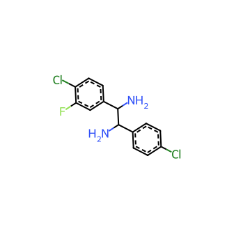 NC(c1ccc(Cl)cc1)C(N)c1ccc(Cl)c(F)c1